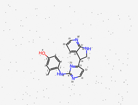 Cc1cc(O)ccc1Nc1nccc(C2CNc3ncccc32)n1